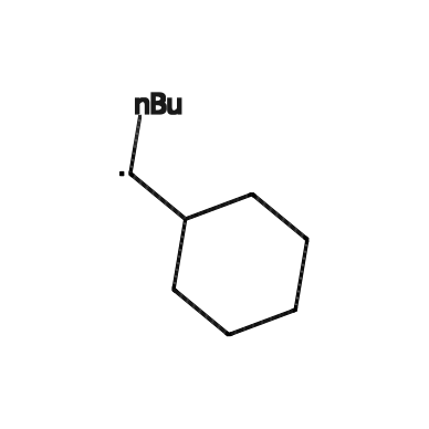 CCCC[CH]C1CCCCC1